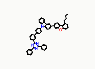 CCCCc1cccc2oc3cc(-c4ccc5c(c4)c4ccccc4n5-c4ccc(-c5cccc(-c6nc(-c7ccccc7)nc(-c7ccccc7)n6)c5)cc4)ccc3c12